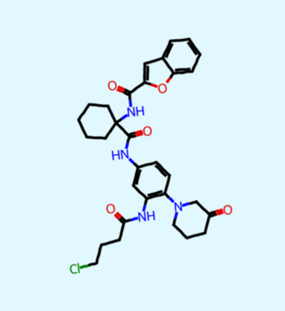 O=C1CCCN(c2ccc(NC(=O)C3(NC(=O)c4cc5ccccc5o4)CCCCC3)cc2NC(=O)CCCCl)C1